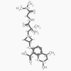 C[C@H]1CB(O)Oc2c1ccc(OC1CN(C[C@](C)(N)C(=O)NCC(=O)N(C)C)C1)c2C(=O)O